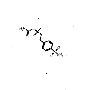 CC(C)(CCc1ccc(S(N)(=O)=O)cc1)OC(N)=O